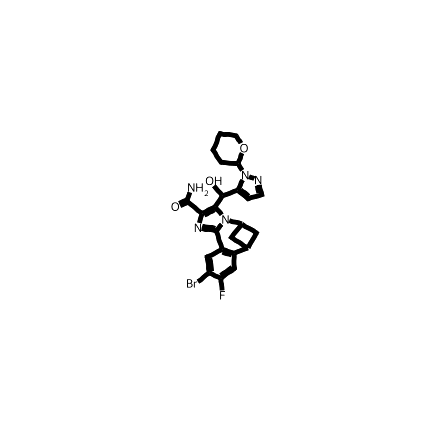 NC(=O)c1nc2n(c1C(O)c1ccnn1C1CCCCO1)C1CC(C1)c1cc(F)c(Br)cc1-2